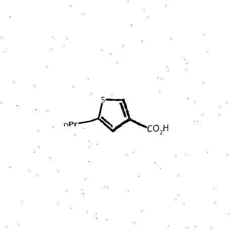 CCCc1cc(C(=O)O)cs1